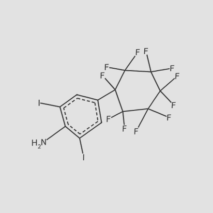 Nc1c(I)cc(C2(F)C(F)(F)C(F)(F)C(F)(F)C(F)(F)C2(F)F)cc1I